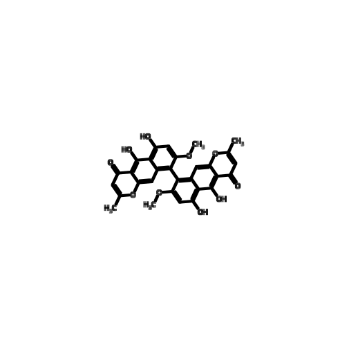 COc1cc(O)c2c(O)c3c(=O)cc(C)oc3cc2c1-c1c(OC)cc(O)c2c(O)c3c(=O)cc(C)oc3cc12